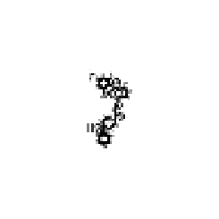 COc1cc(C)c(S(=O)(=O)N2CCC[C@H]2COCC(=O)N2CCC(O)(c3ccccc3)CC2)c(C)c1